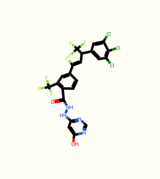 O=C(NNc1cc(O)ncn1)c1ccc(C(F)=CC(c2cc(Cl)c(Cl)c(Cl)c2)C(F)(F)F)cc1C(F)(F)F